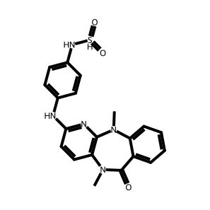 CN1C(=O)c2ccccc2N(C)c2nc(Nc3ccc(N[SH](=O)=O)cc3)ccc21